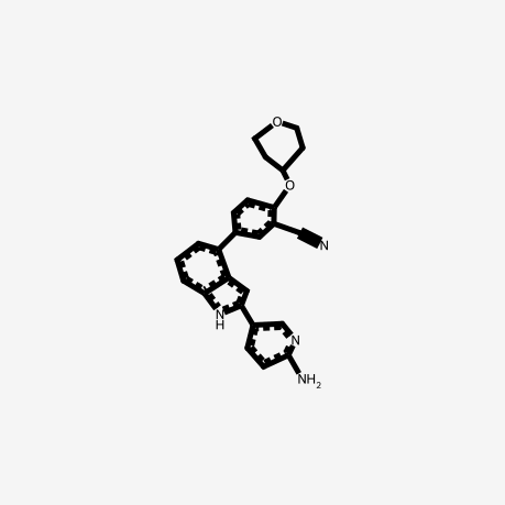 N#Cc1cc(-c2cccc3[nH]c(-c4ccc(N)nc4)cc23)ccc1OC1CCOCC1